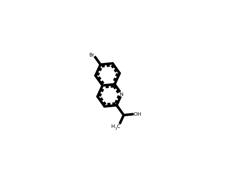 CC(O)c1ccc2cc(Br)[c]cc2n1